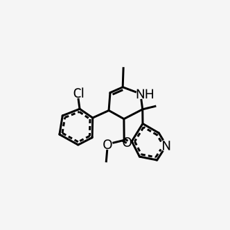 COC(=O)C1C(c2ccccc2Cl)C=C(C)NC1(C)c1cccnc1